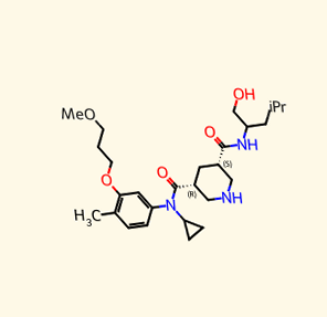 COCCCOc1cc(N(C(=O)[C@H]2CNC[C@@H](C(=O)NC(CO)CC(C)C)C2)C2CC2)ccc1C